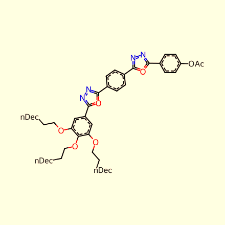 CCCCCCCCCCCCOc1cc(-c2nnc(-c3ccc(-c4nnc(-c5ccc(OC(C)=O)cc5)o4)cc3)o2)cc(OCCCCCCCCCCCC)c1OCCCCCCCCCCCC